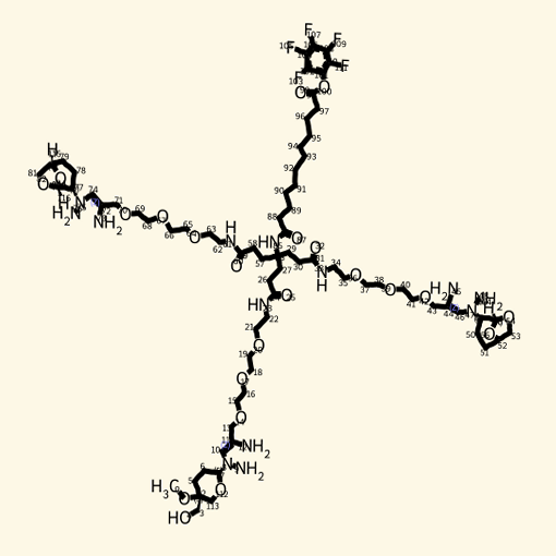 CO[C@]1(CO)CC[C@@H](N(N)/C=C(\N)COCCOCCOCCNC(=O)CCC(CCC(=O)NCCOCCOCCOC/C(N)=C/N(N)[C@@H]2CCC3CO[C@@H]2O3)(CCC(=O)NCCOCCOCCOC/C(N)=C/N(N)[C@@H]2CC[C@@H]3CO[C@@H]2O3)NC(=O)CCCCCCCCCCC(=O)Oc2c(F)c(F)c(F)c(F)c2F)OC1